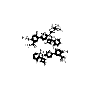 CN(c1ccc(-c2cc(C(N)=O)c(O)cc2F)nn1)[C@]1(c2ncccc2F)C[C@@H](F)C1.COc1cc(F)c(-c2ccc(N(C[C@]3(c4ncccc4F)C[C@@H](F)C3)C(=O)OC(C)(C)C)nn2)cc1C(N)=O